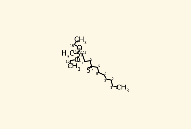 CCCCCCCC(=S)CCC[Si](C)(OCC)OCC